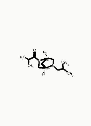 CC(C)CN1C[C@H]2C[C@@H]1CN2C(=O)C(C)C